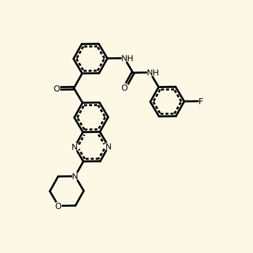 O=C(Nc1cccc(F)c1)Nc1cccc(C(=O)c2ccc3ncc(N4CCOCC4)nc3c2)c1